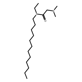 CCCCCCCCCCCCN(CC)C(=O)CN(C)C